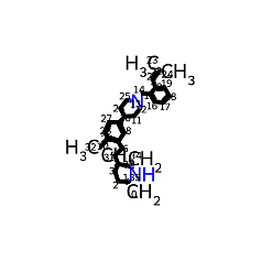 C=C1CCC(CCc2cc(C3CCN(Cc4ccccc4C=C(C)C)CC3)ccc2C(=C)C)C(=C)N1